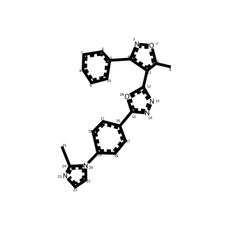 Cc1onc(-c2ccccc2)c1-c1nnc(-c2ccc(-n3ccnc3C)cc2)o1